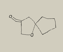 O=C1COC2(CCCC2)C1